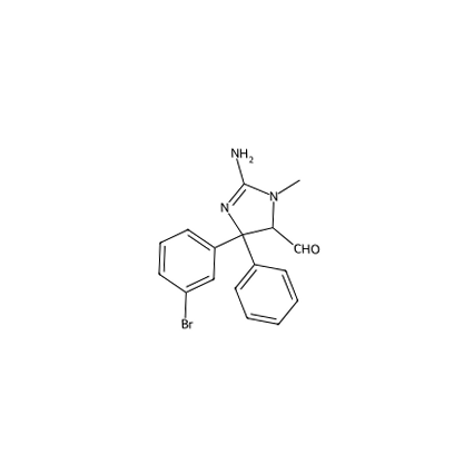 CN1C(N)=NC(c2ccccc2)(c2cccc(Br)c2)C1C=O